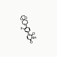 O=c1ccn(-c2ccc(N3CCC4(CC3)OCCO4)c(F)c2)c(=O)[nH]1